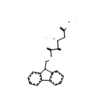 CC(C)(C)OC(=O)C[C@H](N)C(=O)C(=O)OCC1c2ccccc2-c2ccccc21